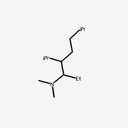 CCC(C(CCC(C)C)C(C)C)N(C)C